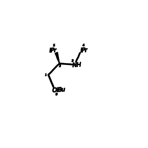 CC(C)COC[C@H](NC(C)C)C(C)C